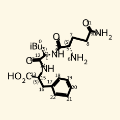 CC[C@H](C)[C@H](NC(=O)[C@@H](N)CCC(N)=O)C(=O)N[C@@H](Cc1ccccc1)C(=O)O